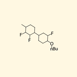 CCCCOC1CCC(C2CCC(C)C(F)C2F)CC1F